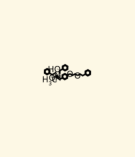 C[C@H](Cc1ccc(OCCOCCc2ccccc2)cc1)N(C[C@@H](O)c1ccccc1)C[C@H](O)c1ccccc1